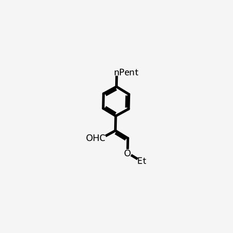 CCCCCc1ccc(/C(C=O)=C/OCC)cc1